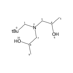 [CH2]C(C)(C)CN(CC(C)O)CC(C)O